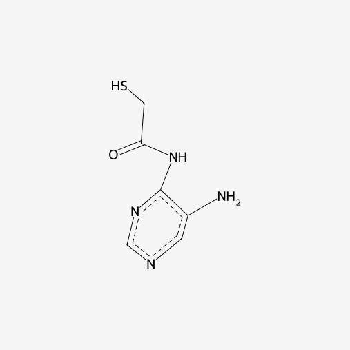 Nc1cncnc1NC(=O)CS